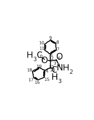 COC(C(N)=O)(c1ccccc1)C(C)c1ccccc1